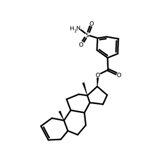 C[C@]12CC=CCC1CCC1C2CC[C@@]2(C)C1CC[C@@H]2OC(=O)c1cccc(S(N)(=O)=O)c1